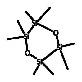 C[Si]1(C)O[Si](C)(C)[Si](C)(C)O[Si]1(C)C